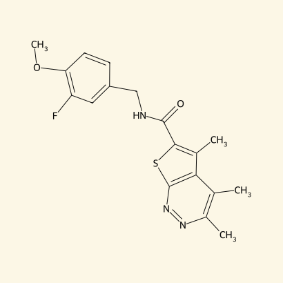 COc1ccc(CNC(=O)c2sc3nnc(C)c(C)c3c2C)cc1F